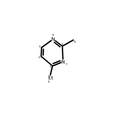 CCc1[c]cnc(C)n1